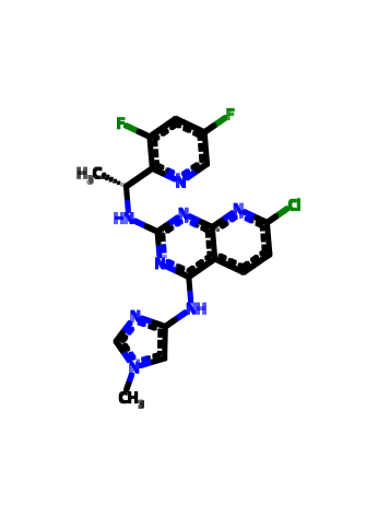 C[C@@H](Nc1nc(Nc2cn(C)cn2)c2ccc(Cl)nc2n1)c1ncc(F)cc1F